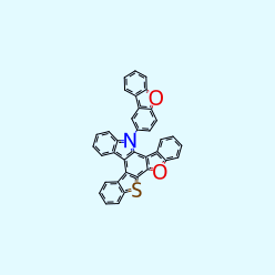 c1ccc2c(c1)oc1ccc(-n3c4ccccc4c4c5c6ccccc6sc5c5oc6ccccc6c5c43)cc12